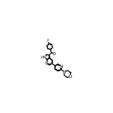 O=C(c1ccc(F)cc1)c1c[nH]c2ncc(-c3ccc(N4CCOCC4)nc3)cc12